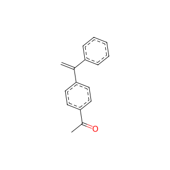 C=C(c1ccccc1)c1ccc(C(C)=O)cc1